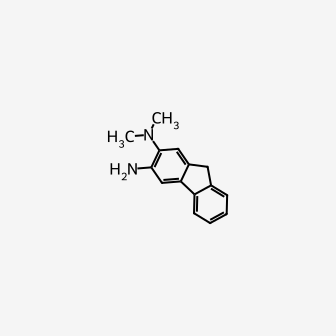 CN(C)c1cc2c(cc1N)-c1ccccc1C2